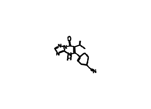 CC(C)c1c(C2=CCC(C#N)CC2)[nH]c2ncnn2c1=O